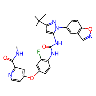 CNC(=O)c1cc(Oc2ccc(NC(=O)Nc3cc(C(C)(C)C)nn3-c3ccc4oncc4c3)c(F)c2)ccn1